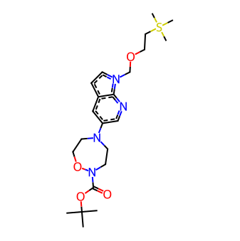 CC(C)(C)OC(=O)N1CCN(c2cnc3c(ccn3COCCS(C)(C)C)c2)CCO1